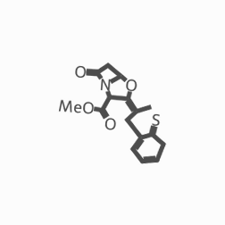 COC(=O)C1C(=C(C)CC2=CC=CCC2=S)OC2CC(=O)N21